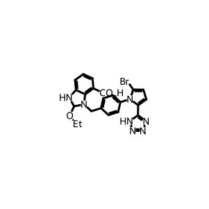 CCOC1Nc2cccc(C(=O)O)c2N1Cc1ccc(-n2c(Br)ccc2-c2nnn[nH]2)cc1